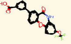 O=C(O)c1cccc(-c2ccc3c(c2)C(=O)Nc2cc(OC(F)(F)F)ccc2O3)c1